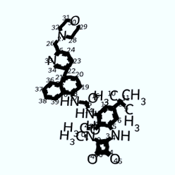 CNc1c(Nc2cc(C(C)(C)C)cc(NC(=O)Nc3ccc(-c4ccc(CN5CCOCC5)nc4)c4ccccc34)c2OC)c(=O)c1=O